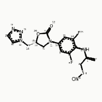 C=C(CSN=O)Nc1c(F)cc(N2C[C@H](Cn3ccnn3)OC2=O)cc1F